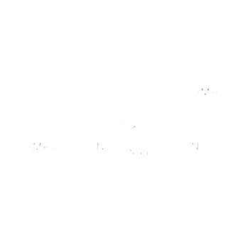 COc1ccc2nccc([C@@H](F)CC[C@@H]3CCN(CCCSC)C[C@@H]3C(=O)O)c2c1